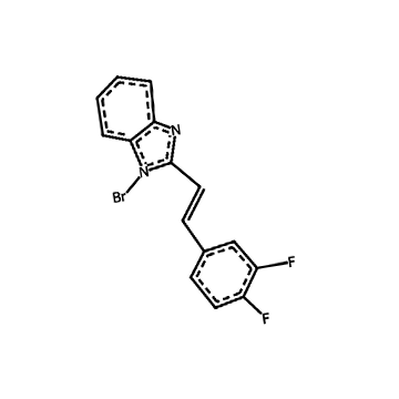 Fc1ccc(/C=C/c2nc3ccccc3n2Br)cc1F